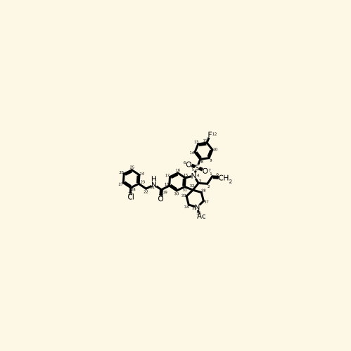 C=CCC1N(S(=O)(=O)c2ccc(F)cc2)c2ccc(C(=O)NCc3ccccc3Cl)cc2C12CCN(C(C)=O)CC2